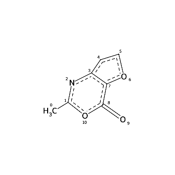 Cc1nc2ccoc2c(=O)o1